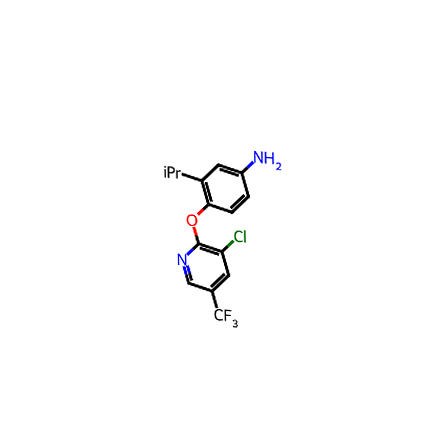 CC(C)c1cc(N)ccc1Oc1ncc(C(F)(F)F)cc1Cl